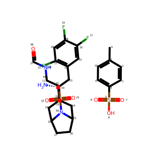 Cc1ccc(S(=O)(=O)O)cc1.N[C@H](Cc1cc(F)c(F)cc1F)C1CC2CCC(C1)N2S(=O)(=O)CCNC=O